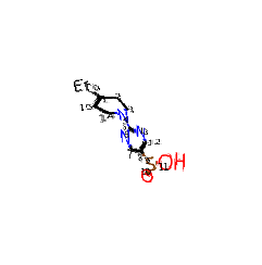 CCC1CCN(c2ncc(S(=O)O)cn2)CC1